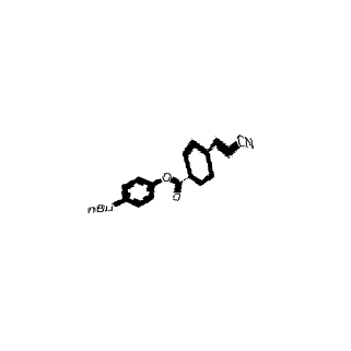 CCCCc1ccc(OC(=O)[C@H]2CC[C@H](C=CC#N)CC2)cc1